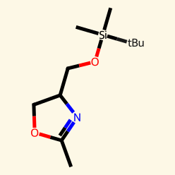 CC1=NC(CO[Si](C)(C)C(C)(C)C)CO1